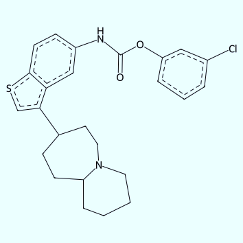 O=C(Nc1ccc2scc(C3CCC4CCCCN4CC3)c2c1)Oc1cccc(Cl)c1